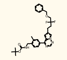 Cc1cc(-c2ncnn3cc(CCC(F)(F)COCc4ccccc4)cc23)ccc1CNC(=O)OC(C)(C)C